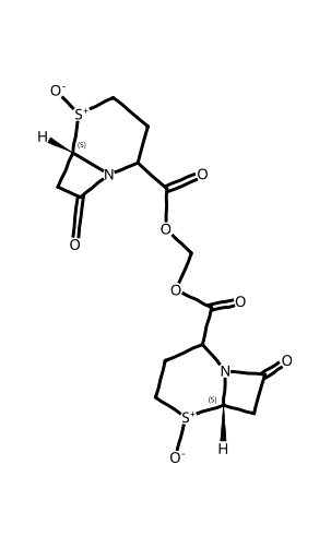 O=C(OCOC(=O)C1CC[S+]([O-])[C@H]2CC(=O)N12)C1CC[S+]([O-])[C@H]2CC(=O)N12